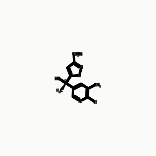 CCOC(=O)c1cc([C@](C)(O)c2cnc(Cl)c(C)c2)on1